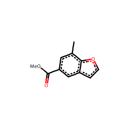 COC(=O)c1cc(C)c2occc2c1